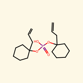 C=CCC1(OP(=O)(O)OC2(CC=C)CCCCC2)CCCCC1